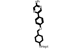 CCCCCCCC1CCC(COc2ccc(-c3cnc(CCC)cn3)cc2)CC1